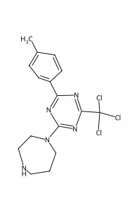 Cc1ccc(-c2nc(N3CCCNCC3)nc(C(Cl)(Cl)Cl)n2)cc1